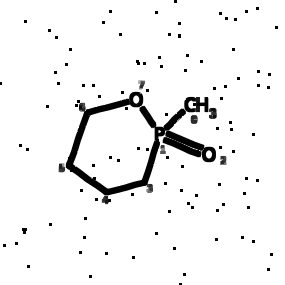 CP1(=O)CCCCO1